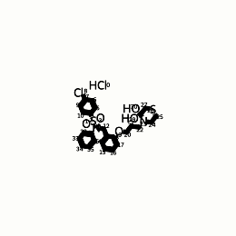 Cl.O=S(=O)(c1ccc(Cl)cc1)N(Cc1ccccc1OCCCN1CCSCC1(O)O)c1ccccc1